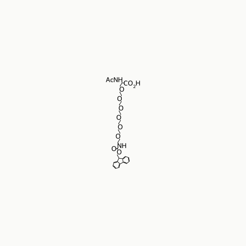 CC(=O)N[C@@H](COCCOCCOCCOCCOCCOCCNC(=O)OCC1c2ccccc2-c2ccccc21)C(=O)O